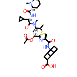 CC(=O)O[C@H](C[C@H](C(C)C)N(C)C(=O)[C@@H](NC(=O)[C@H]1CCCCN1C)C1CC1)c1nc(C(=O)NC23C4C5C2C2C3C4C52C(=O)O)cs1